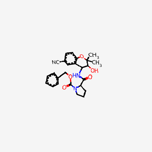 CC1(C)Oc2ccc(C#N)cc2C(NC(=O)C2CCCN2C(=O)OCc2ccccc2)C1O